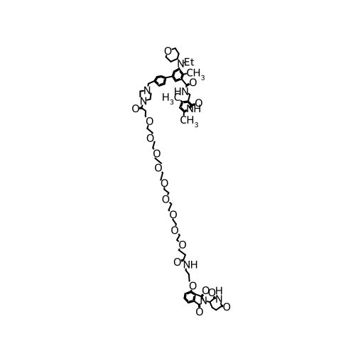 CCN(c1cc(-c2ccc(CN3CCN(C(=O)CCOCCOCCOCCOCCOCCOCCOCCOCCOCCC(=O)NCCCOc4cccc5c4C(=O)N(C4CCC(=O)NC4=O)C5=O)CC3)cc2)cc(C(=O)NCc2c(C)cc(C)[nH]c2=O)c1C)C1CCOCC1